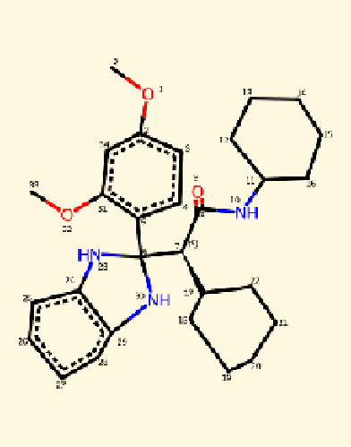 COc1ccc(C2([C@@H](C(=O)NC3CCCCC3)C3CCCCC3)Nc3ccccc3N2)c(OC)c1